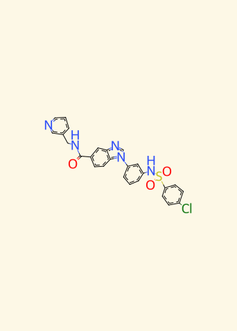 O=C(NCc1cccnc1)c1ccc2c(c1)ncn2-c1cccc(NS(=O)(=O)c2ccc(Cl)cc2)c1